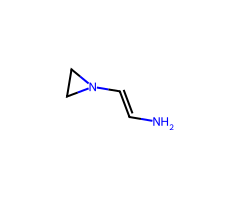 NC=CN1CC1